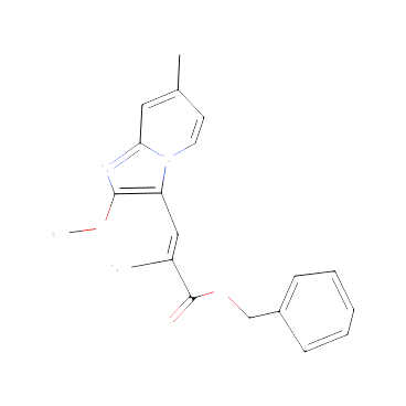 Cc1ccn2c(C=C(C#N)C(=O)OCc3ccccc3)c(OC(C)C)nc2c1